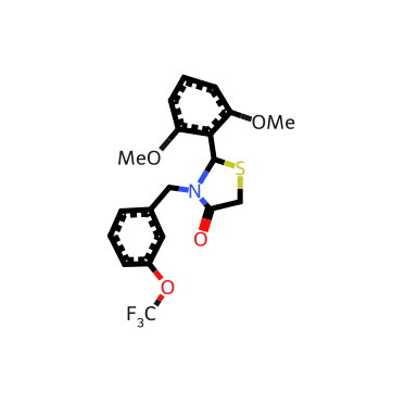 COc1cccc(OC)c1C1SCC(=O)N1Cc1cccc(OC(F)(F)F)c1